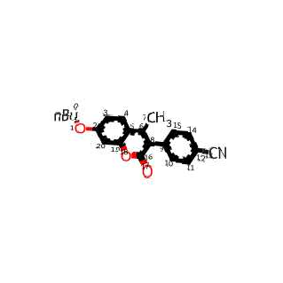 CCCCOc1ccc2c(C)c(-c3ccc(C#N)cc3)c(=O)oc2c1